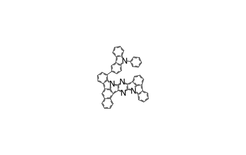 c1ccc(-n2c3ccccc3c3cc(-c4cccc5c6cc7ccccc7c7c8nc9c(nc8n(c45)c67)c4cccc5c6ccccc6n9c54)ccc32)cc1